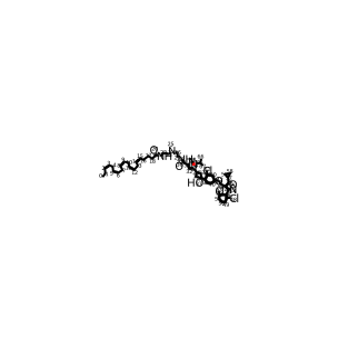 CC/C=C\C/C=C\C/C=C\C/C=C\C/C=C\CCCC(=O)NCCN(C)CCNC(=O)c1cc(C2CC(O)(c3ccc(OCc4c(-c5c(Cl)cccc5Cl)noc4C4CC4)cc3Cl)C2)n(C(C)C)n1